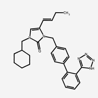 CC/C=C/c1cn(CC2CCCCC2)c(=O)n1Cc1ccc(-c2ccccc2-c2nnn[nH]2)cc1